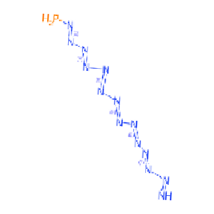 N=N/N=N/N=N/N=N/N=N/N=N/N=N/P